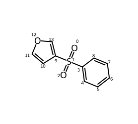 O=S(=O)(c1ccccc1)c1ccoc1